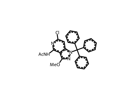 COc1nn(C(c2ccccc2)(c2ccccc2)c2ccccc2)c2cc(Cl)nc(NC(C)=O)c12